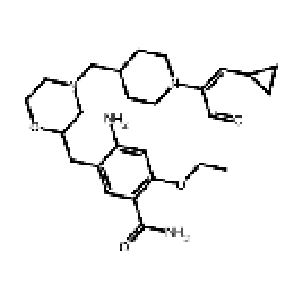 CCOc1cc(N)c(CC2CN(CC3CCN(C(C=O)=CC4CC4)CC3)CCO2)cc1C(N)=O